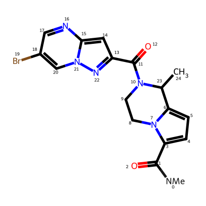 CNC(=O)c1ccc2n1CCN(C(=O)c1cc3ncc(Br)cn3n1)C2C